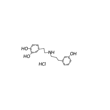 Cl.Oc1cccc(CCCNCCc2ccc(O)c(O)c2)c1